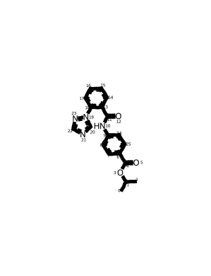 CC(C)OC(=O)c1ccc(NC(=O)c2ccccc2-n2cncn2)cc1